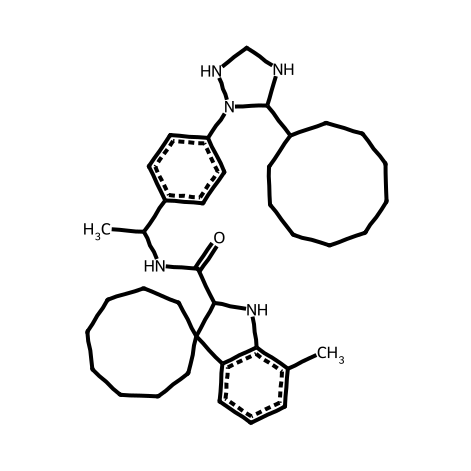 Cc1cccc2c1NC(C(=O)NC(C)c1ccc(N3NCNC3C3CCCCCCCCC3)cc1)C21CCCCCCCC1